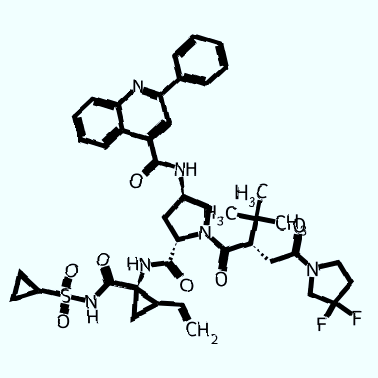 C=CC1C[C@]1(NC(=O)[C@@H]1C[C@@H](NC(=O)c2cc(-c3ccccc3)nc3ccccc23)CN1C(=O)[C@@H](CC(=O)N1CCC(F)(F)C1)C(C)(C)C)C(=O)NS(=O)(=O)C1CC1